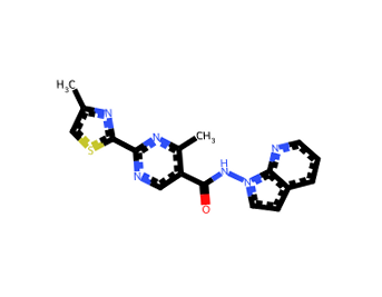 Cc1csc(-c2ncc(C(=O)Nn3ccc4cccnc43)c(C)n2)n1